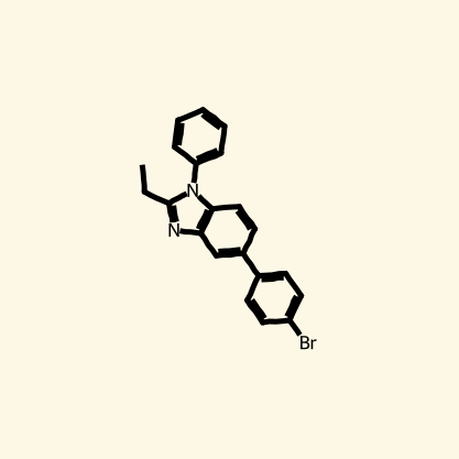 CCc1nc2cc(-c3ccc(Br)cc3)ccc2n1-c1ccccc1